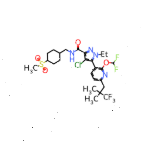 CCn1nc(C(=O)NCC2CCC(S(C)(=O)=O)CC2)c(Cl)c1-c1ccc(CC(C)(C)C(F)(F)F)nc1OC(F)F